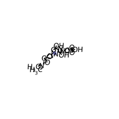 CCN(CC)CCS(=O)(=O)c1ccc(/N=N/c2c(C(=O)O)nn(-c3ccc(S(=O)(=O)O)cc3)c2O)cc1